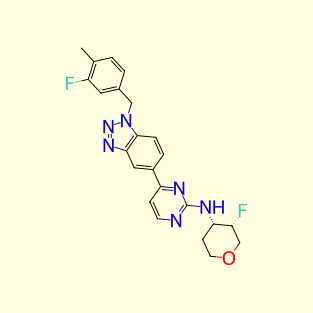 Cc1ccc(Cn2nnc3cc(-c4ccnc(N[C@H]5CCOC[C@H]5F)n4)ccc32)cc1F